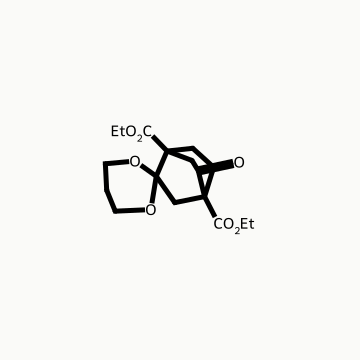 CCOC(=O)C12CCC(C(=O)OCC)(CC1=O)C1(C2)OCCCO1